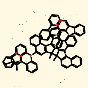 Cc1cccc(-c2ccccc2N(c2cc3c(c4ccccc24)-c2c(ccc4ccccc24)C3(C)C2(C)c3ccc4ccccc4c3-c3c2cc(N(c2ccccc2-c2ccccc2)c2cccc4c2oc2ccccc24)c2ccccc32)c2cccc3c2oc2ccccc23)c1C